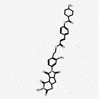 CCCCC1CCC(C(=O)Oc2ccc(/C=C/C(=O)OCCc3ccc(N4C(=O)C5CC6CC(=O)N(C(C)(C)C)C(=O)C6C5C4=O)cc3C(C)(C)C)cc2)CC1